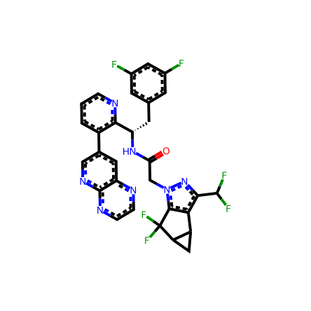 O=C(Cn1nc(C(F)F)c2c1C(F)(F)C1CC21)N[C@@H](Cc1cc(F)cc(F)c1)c1ncccc1-c1cnc2nccnc2c1